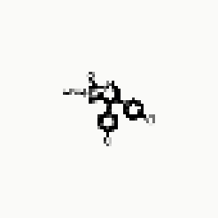 CCCCn1nc2c(-c3ccc(Cl)cc3)c(-c3ccc(Cl)cc3)cnn2c1=O